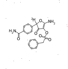 [2H]C1(c2ccc(C(N)=O)cc2)OC(N)=C(OS(=O)(=O)Cc2ccccc2)C1=O